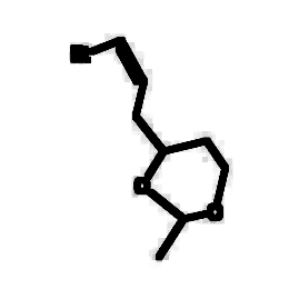 CC/C=C\CC1CCOC(C)O1